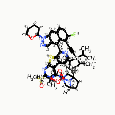 CC(C)[Si](C#Cc1c(F)ccc2cc3c(cnn3C3CCCCO3)c(-c3nccc4c3sc3nc([S+](C)[O-])nc(N5C[C@H]6CC[C@@H](C5)N6C(=O)OC(C)(C)C)c34)c12)(C(C)C)C(C)C